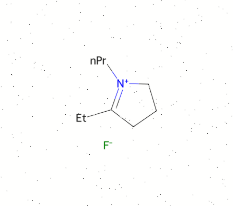 CCC[N+]1=C(CC)CCC1.[F-]